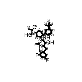 CC(=O)NC(Cc1cc(F)cc(F)c1)C(O)CNC1(c2cccc(C(C)(C)C)c2)CCC(N(O)C(C)=O)CC1